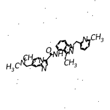 CCc1nn(Cc2cccc(C)n2)c2cccc(NC(=O)c3cnc4cc(CN(C)C)ccn34)c12